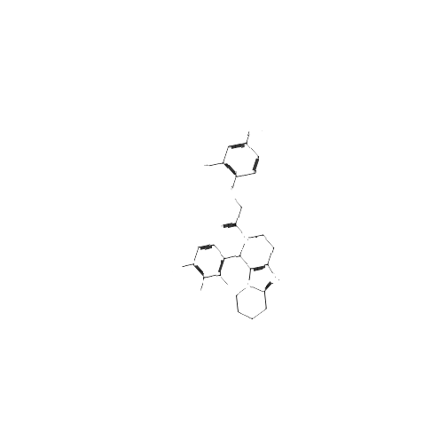 Cc1ccc(C2c3c(nc4n3CCCC4)CCN2C(=O)COc2ccc(C(F)(F)F)cc2Cl)c(F)c1F